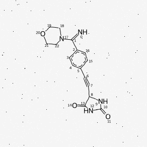 N=C(c1ccc(C#CC2NC(=O)NC2=O)cc1)N1CCOCC1